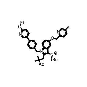 CCOc1ccc(-c2ccc(Cn3c(CC(C)(C)C(C)=O)c([S+]([O-])C(C)(C)C)c4cc(OCc5ccc(C)cn5)ccc43)cc2)cn1